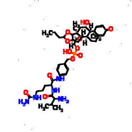 CCCC1O[C@@H]2C[C@H]3[C@@H]4CCC5=CC(=O)C=C[C@]5(C)[C@H]4[C@@H](O)C[C@]3(C)[C@]2(C(=O)COP(=O)(O)OCc2ccc(NC(=O)[C@H](CCCNC(N)=O)NC(=O)[C@@H](N)C(C)C)cc2)O1